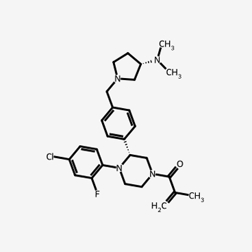 C=C(C)C(=O)N1CCN(c2ccc(Cl)cc2F)[C@H](c2ccc(CN3CC[C@H](N(C)C)C3)cc2)C1